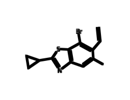 C=Cc1c(C)cc2nc(C3CC3)sc2c1Br